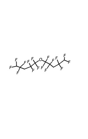 FC(F)C(F)(F)CC(F)(F)C(F)(F)OC(F)(F)C(F)(F)CC(F)(F)C(F)F